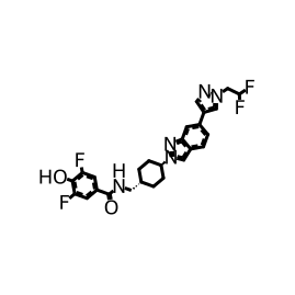 O=C(NC[C@H]1CC[C@H](n2cc3ccc(-c4cnn(CC(F)F)c4)cc3n2)CC1)c1cc(F)c(O)c(F)c1